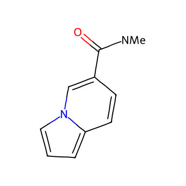 CNC(=O)c1ccc2cccn2c1